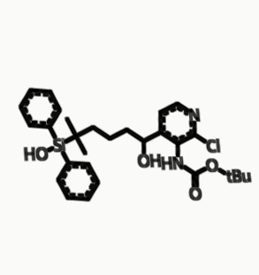 CC(C)(C)OC(=O)Nc1c(C(O)CCCC(C)(C)[Si](O)(c2ccccc2)c2ccccc2)ccnc1Cl